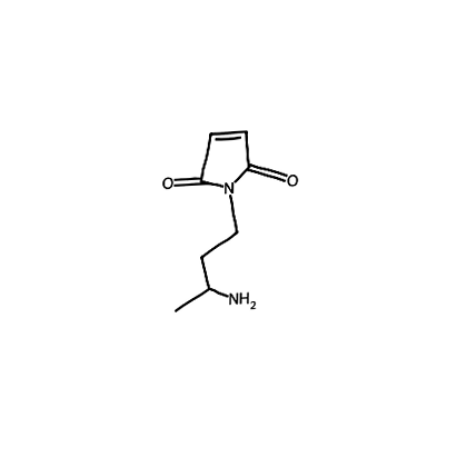 CC(N)CCN1C(=O)C=CC1=O